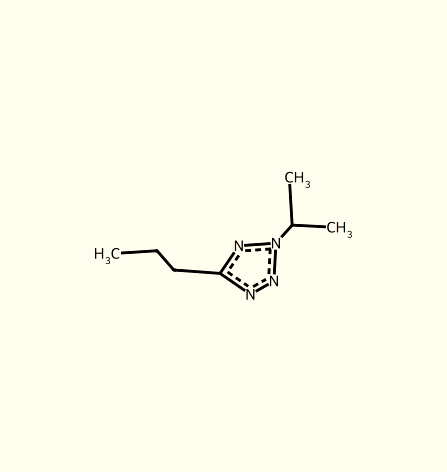 CCCc1nnn(C(C)C)n1